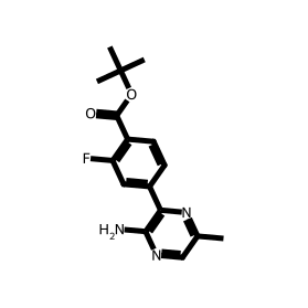 Cc1cnc(N)c(-c2ccc(C(=O)OC(C)(C)C)c(F)c2)n1